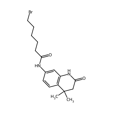 CC1(C)CC(=O)Nc2cc(NC(=O)CCCCCBr)ccc21